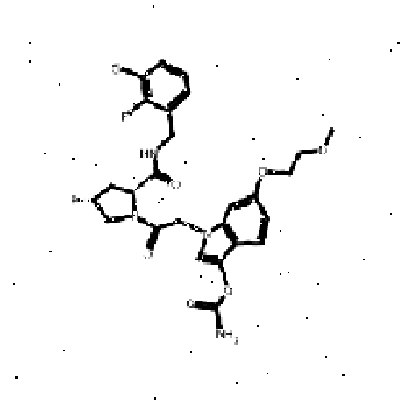 COCCOc1ccc2c(OC(N)=O)cn(CC(=O)N3C[C@H](F)C[C@H]3C(=O)NCc3cccc(Cl)c3F)c2c1